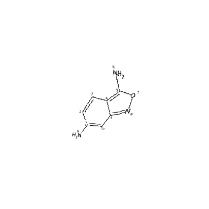 Nc1ccc2c(N)onc2c1